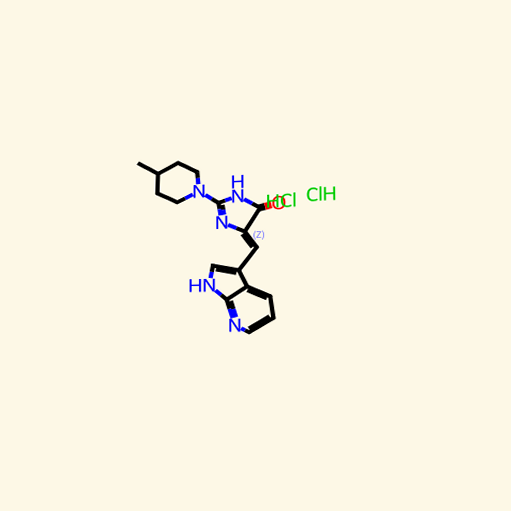 CC1CCN(C2=N/C(=C\c3c[nH]c4ncccc34)C(=O)N2)CC1.Cl.Cl